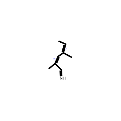 C/C=C(C)\C=C(\C)C=N